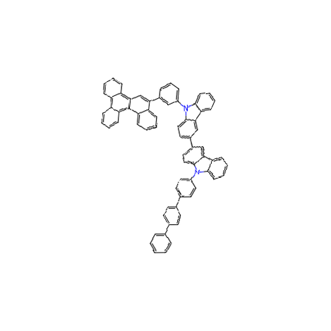 c1ccc(-c2ccc(-c3ccc(-n4c5ccccc5c5cc(-c6ccc7c(c6)c6ccccc6n7-c6cccc(-c7cc8c9ccccc9c9ccccc9c8c8ccccc78)c6)ccc54)cc3)cc2)cc1